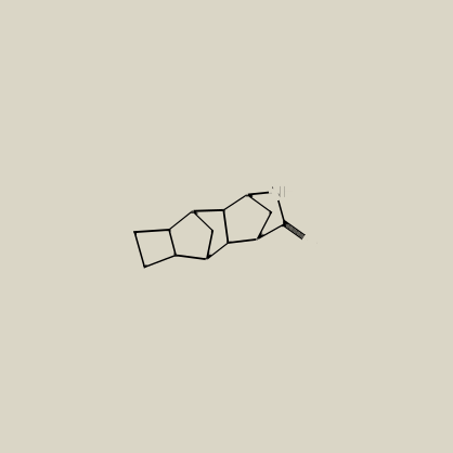 O=C1NC2CC1C1C3CC(C4CCC43)C21